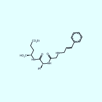 CCOC(=O)CC[C@@H](NC(=O)[C@@H](NC(=O)CNCC=Cc1ccccc1)C(C)C)C(=O)O